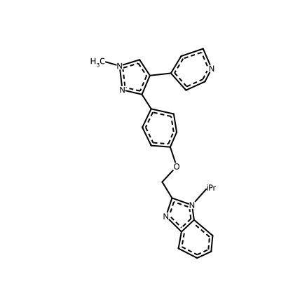 CC(C)n1c(COc2ccc(-c3nn(C)cc3-c3ccncc3)cc2)nc2ccccc21